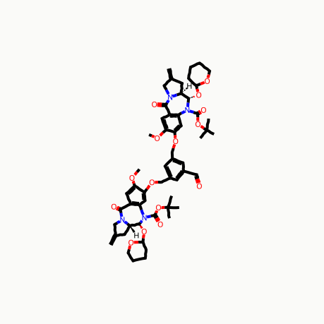 C=C1C[C@H]2[C@H](OC3CCCCO3)N(C(=O)OC(C)(C)C)c3cc(OCc4cc(C=O)cc(COc5cc6c(cc5OC)C(=O)N5CC(=C)C[C@H]5[C@H](OC5CCCCO5)N6C(=O)OC(C)(C)C)c4)c(OC)cc3C(=O)N2C1